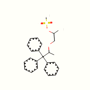 CC(COC(C)C(c1ccccc1)(c1ccccc1)c1ccccc1)OS(C)(=O)=O